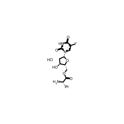 CC(C)[C@H](N)C(=O)OC[C@H]1O[C@@H](n2cc(F)c(=O)[nH]c2=O)C[C@@H]1O.Cl